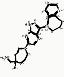 CCC1(CN)CCN(c2cnc3c(N4CCCc5ncccc54)n[nH]c3n2)CC1